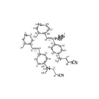 Br.Br.Cc1cnccc1/C=C/c1ccc(N(C)CCC#N)cc1.Cc1cnccc1/C=C/c1ccc(N(C)CCC#N)cc1